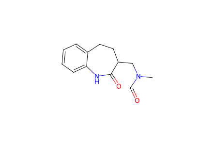 CN(C=O)CC1CCc2ccccc2NC1=O